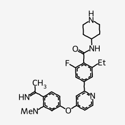 CCc1cc(-c2cc(Oc3ccc(C(C)=N)c(NC)c3)ccn2)cc(F)c1C(=O)NC1CCNCC1